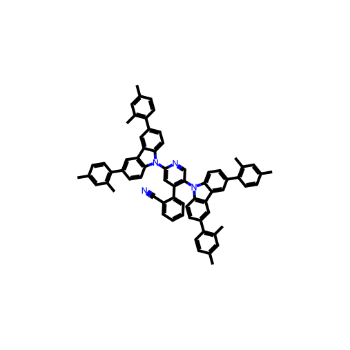 Cc1ccc(-c2ccc3c(c2)c2cc(-c4ccc(C)cc4C)ccc2n3-c2cc(-c3ccccc3C#N)c(-n3c4ccc(-c5ccc(C)cc5C)cc4c4cc(-c5ccc(C)cc5C)ccc43)cn2)c(C)c1